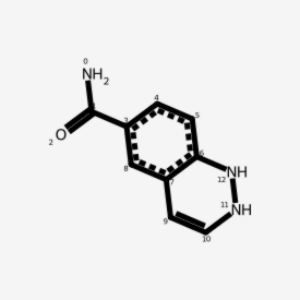 NC(=O)c1ccc2c(c1)C=CNN2